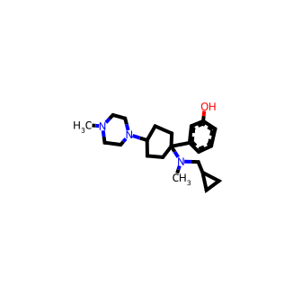 CN1CCN(C2CCC(c3cccc(O)c3)(N(C)CC3CC3)CC2)CC1